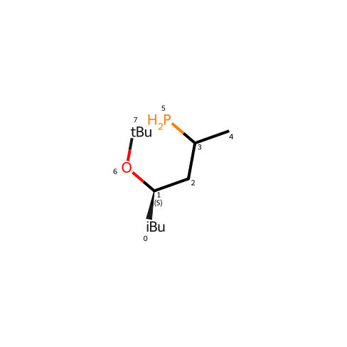 CCC(C)[C@H](CC(C)P)OC(C)(C)C